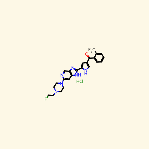 Cl.O=C(c1c[nH]c(-c2nc3cnc(N4CCN(CCF)CC4)cc3[nH]2)c1)c1ccccc1C(F)(F)F